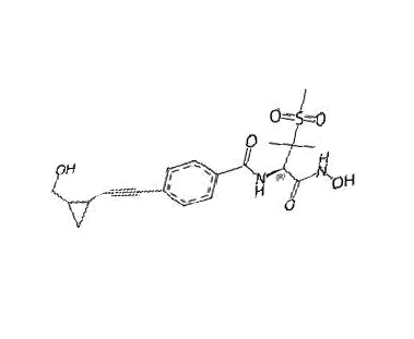 CC(C)([C@H](NC(=O)c1ccc(C#CC2CC2CO)cc1)C(=O)NO)S(C)(=O)=O